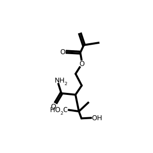 C=C(C)C(=O)OCCC(C(N)=O)C(C)(CO)C(=O)O